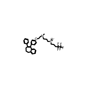 CN(CCC[S+]([O-])CCCC(F)(F)C(F)(F)F)CCOc1ccc(C2=C(c3ccccc3)CCCc3ccccc32)cc1